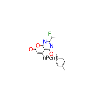 CCCCCc1cc(=O)oc2nc(C(C)F)nc(OCc3ccc(C)cc3)c12